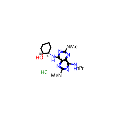 CCCNc1nc(NC)nc2c(N[C@H]3CCCC[C@@H]3O)nc(NC)nc12.Cl